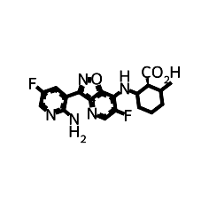 CC1CCCC(Nc2c(F)cnc3c(-c4cc(F)cnc4N)noc23)[C@H]1C(=O)O